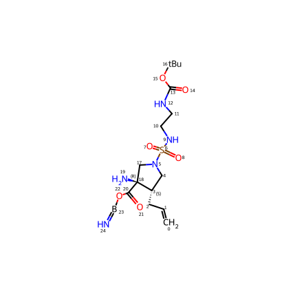 C=CC[C@H]1CN(S(=O)(=O)NCCNC(=O)OC(C)(C)C)C[C@@]1(N)C(=O)OB=N